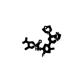 Cc1cc(F)c(NC(=O)N2CC(C)C(C(C)C)C2)cc1-c1cc(N2CCOCC2)c2nccn2c1